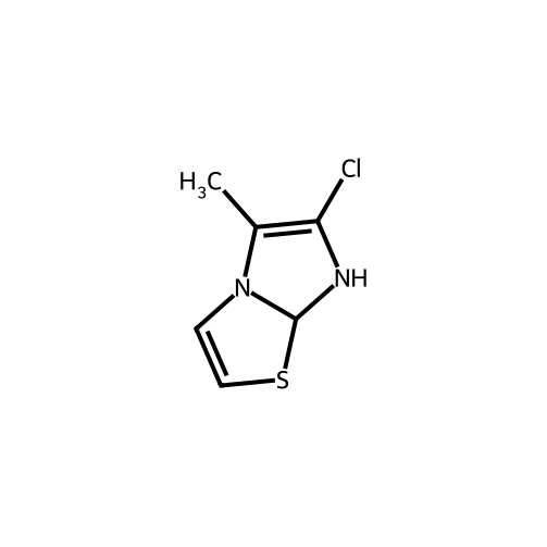 CC1=C(Cl)NC2SC=CN12